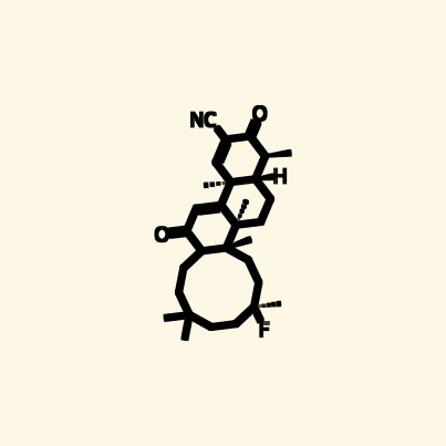 C[C@@H]1C(=O)C(C#N)=C[C@]2(C)C3=CC(=O)C4CCC(C)(C)CC[C@](C)(F)CC[C@@]4(C)[C@]3(C)CC[C@@H]12